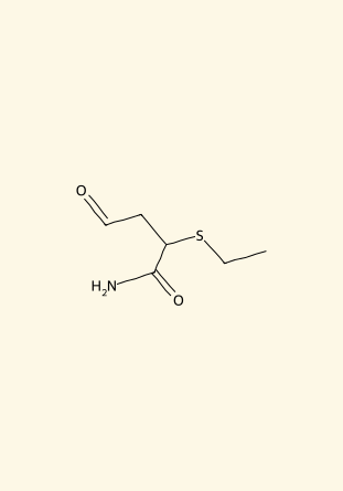 CCSC(CC=O)C(N)=O